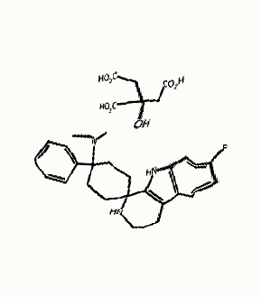 CN(C)C1(c2ccccc2)CCC2(CC1)NCCc1c2[nH]c2cc(F)ccc12.O=C(O)CC(O)(CC(=O)O)C(=O)O